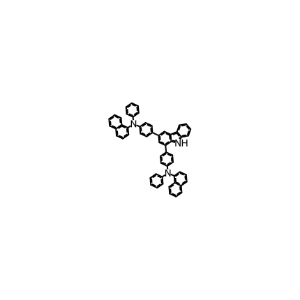 c1ccc(N(c2ccc(-c3cc(-c4ccc(N(c5ccccc5)c5cccc6ccccc56)cc4)c4[nH]c5ccccc5c4c3)cc2)c2cccc3ccccc23)cc1